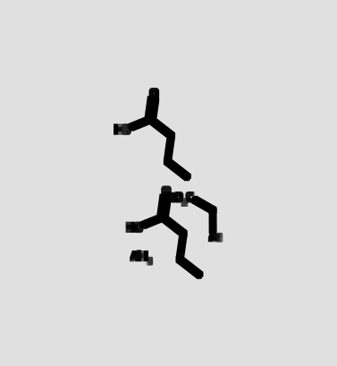 CCCC(=O)O.CCCC(=O)O.CCOC(=O)CC(C)=O.[AlH3]